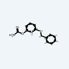 NC(=O)Oc1cccc(SCc2ccccc2)n1